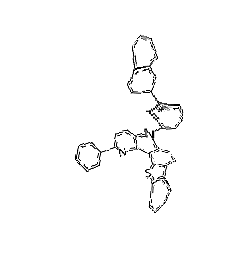 c1ccc(-c2ccc3c(n2)c2c4sc5ccccc5c4ccc2n3-c2cccc(-c3ccc4ccccc4c3)c2)cc1